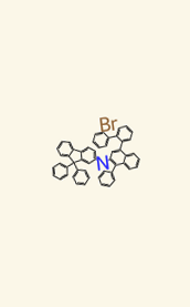 Brc1ccccc1-c1ccccc1-c1cc2c(c3ccccc13)c1ccccc1n2-c1ccc2c(c1)C(c1ccccc1)(c1ccccc1)c1ccccc1-2